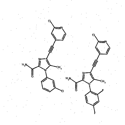 Cc1c(C#Cc2ccnc(Cl)c2)nc(C(N)=O)n1-c1ccc(F)cc1F.Cc1c(C#Cc2ccnc(Cl)c2)nc(C(N)=O)n1-c1cccc(Cl)c1